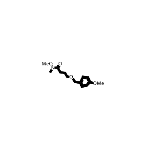 COc1ccc(COCCCC(=O)N(C)OC)cc1